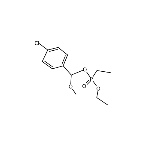 CCOP(=O)(CC)OC(OC)c1ccc(Cl)cc1